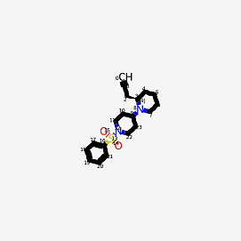 C#CC[C@H]1CCCCN1C1CCN(S(=O)(=O)c2ccccc2)CC1